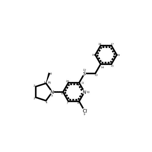 C[C@@H]1CCCN1c1cc(Cl)nc(SCc2ccccc2)c1